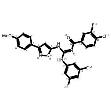 COc1ccc(-c2cc(N/C(=N\C(=O)c3ccc(Cl)c(F)c3)Nc3cc(F)cc(Cl)c3)[nH]n2)cc1